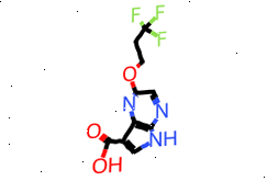 O=C(O)c1c[nH]c2ncc(OCCC(F)(F)F)nc12